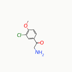 COc1ccc(C(=O)CN)cc1Cl